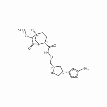 Nc1cn([C@@H]2CN[C@@H](CONC(=O)[C@@H]3CC[C@@H]4CN3C(=O)N4OS(=O)(=O)O)C2)cn1